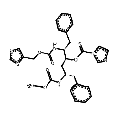 CC(C)(C)OC(=O)N[C@@H](Cc1ccccc1)C[C@H](OC(=S)n1ccnc1)[C@H](Cc1ccccc1)NC(=O)OCc1cncs1